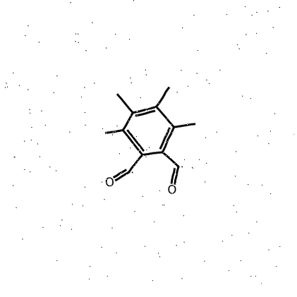 Cc1c(C)c(C)c([C]=O)c([C]=O)c1C